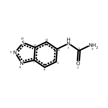 NC(=O)Nc1ccc2nnsc2c1